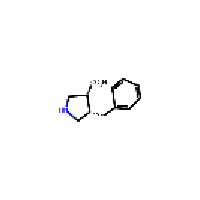 O=C(O)[C@@H]1CNC[C@H]1Cc1ccccc1